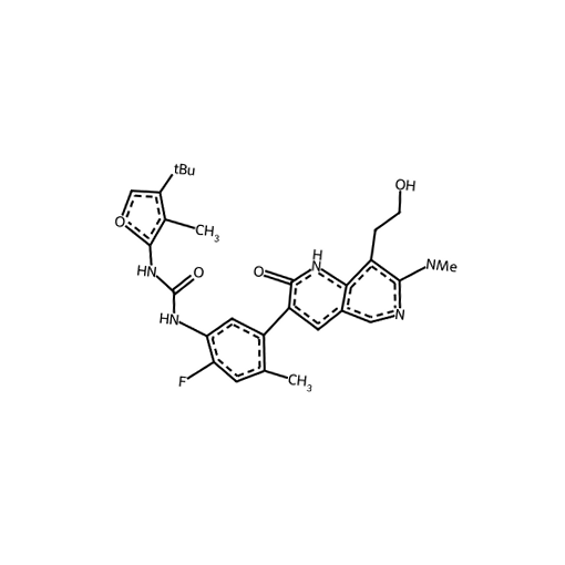 CNc1ncc2cc(-c3cc(NC(=O)Nc4occ(C(C)(C)C)c4C)c(F)cc3C)c(=O)[nH]c2c1CCO